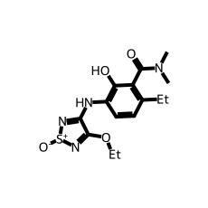 CCOc1n[s+]([O-])nc1Nc1ccc(CC)c(C(=O)N(C)C)c1O